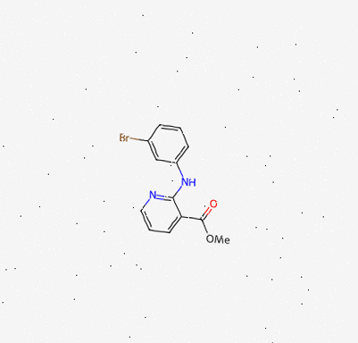 COC(=O)c1cccnc1Nc1cccc(Br)c1